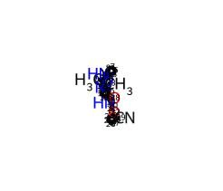 CC(c1nc2ccccc2[nH]1)c1nc2ccc(C(=O)NCCOc3ccccc3C#N)cc2n1C